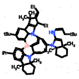 CC/C=C1/C(CC)C2=C(C3C=C(C(C)(C)C)C=C4B5C6=C=C(/C=C(/N7C(N/C=C\CC(C)(C)C)=CC8(C)CCCC[C@@]78C)C/C=C\6N6c7c5cc(C(C)C)cc7C5(C)CCCCC65C)N2C43)C1(C)C